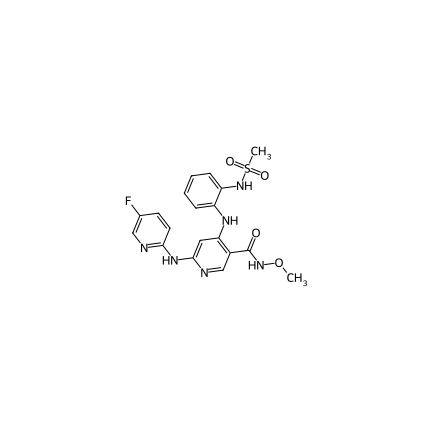 CONC(=O)c1cnc(Nc2ccc(F)cn2)cc1Nc1ccccc1NS(C)(=O)=O